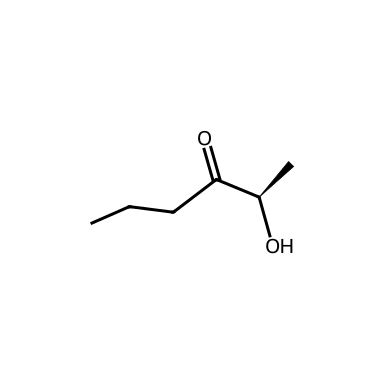 CCCC(=O)[C@@H](C)O